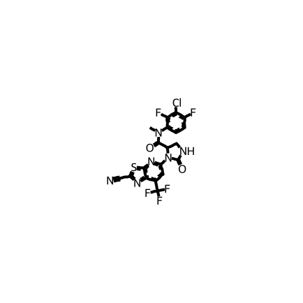 CN(C(=O)C1CNC(=O)N1c1cc(C(F)(F)F)c2nc(C#N)sc2n1)c1ccc(F)c(Cl)c1F